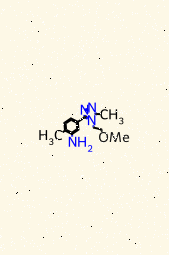 COCCn1c(C)nnc1-c1ccc(C)c(N)c1